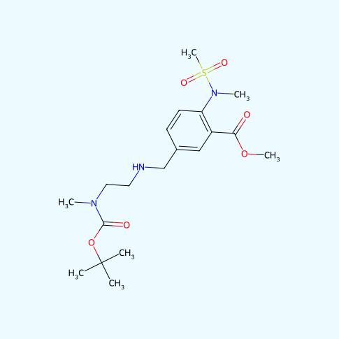 COC(=O)c1cc(CNCCN(C)C(=O)OC(C)(C)C)ccc1N(C)S(C)(=O)=O